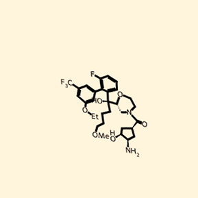 CCOc1cc(-c2c(F)cccc2[C@@](O)(CCCCOC)[C@H]2CN(C(=O)[C@H]3C[C@@H](N)[C@@H](O)C3)CCO2)cc(C(F)(F)F)c1